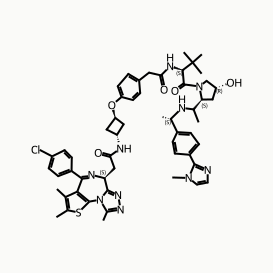 Cc1sc2c(c1C)C(c1ccc(Cl)cc1)=N[C@@H](CC(=O)N[C@H]1C[C@H](Oc3ccc(CC(=O)N[C@H](C(=O)N4C[C@H](O)C[C@H]4C(C)N[C@@H](C)c4ccc(-c5nccn5C)cc4)C(C)(C)C)cc3)C1)c1nnc(C)n1-2